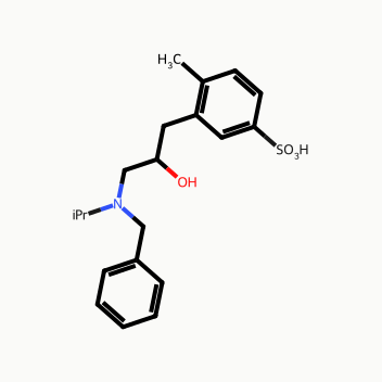 Cc1ccc(S(=O)(=O)O)cc1CC(O)CN(Cc1ccccc1)C(C)C